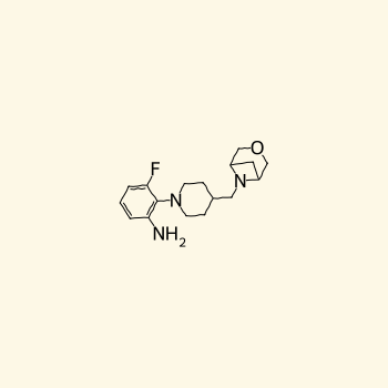 Nc1cccc(F)c1N1CCC(CN2C3COCC2C3)CC1